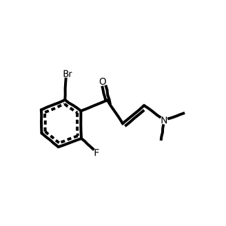 CN(C)/C=C/C(=O)c1c(F)cccc1Br